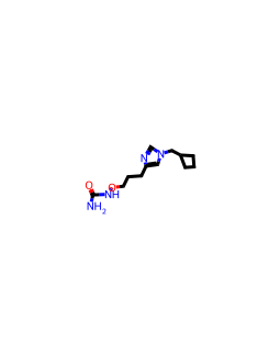 NC(=O)NOCCCc1cn(CC2CCC2)cn1